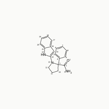 NC(=O)C1(c2ccccc2)CCCN1c1cc2ccccc2[nH]1